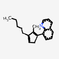 CCCCCC1=CCC(c2cccc3cccnc23)=C1C